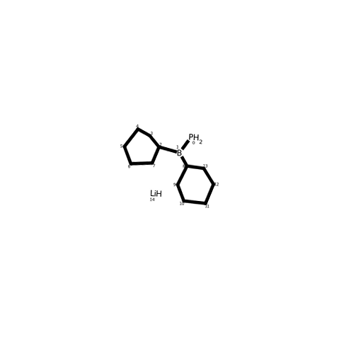 PB(C1CCCCC1)C1CCCCC1.[LiH]